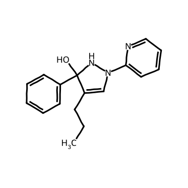 CCCC1=CN(c2ccccn2)NC1(O)c1ccccc1